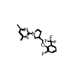 Cc1cc(C)nc(N2CCC(COc3c(F)cccc3C(F)(F)F)C2)n1